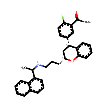 COC(=O)c1cc([C@H]2C[C@@H](CCCNC(C)c3cccc4ccccc34)Oc3ccccc32)ccc1F